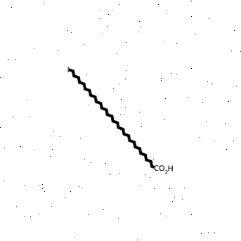 O=C(O)CCCCCCCCCCCCCCCCCCCCCCCCCCCCCCI